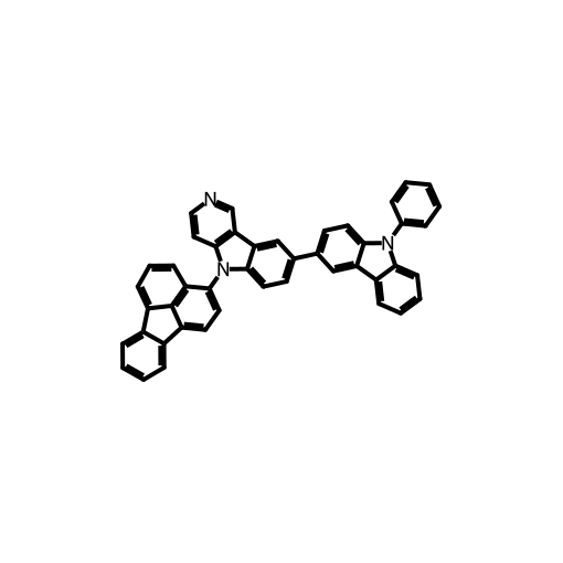 c1ccc(-n2c3ccccc3c3cc(-c4ccc5c(c4)c4cnccc4n5-c4ccc5c6c(cccc46)-c4ccccc4-5)ccc32)cc1